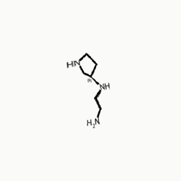 NCCN[C@@H]1CCNC1